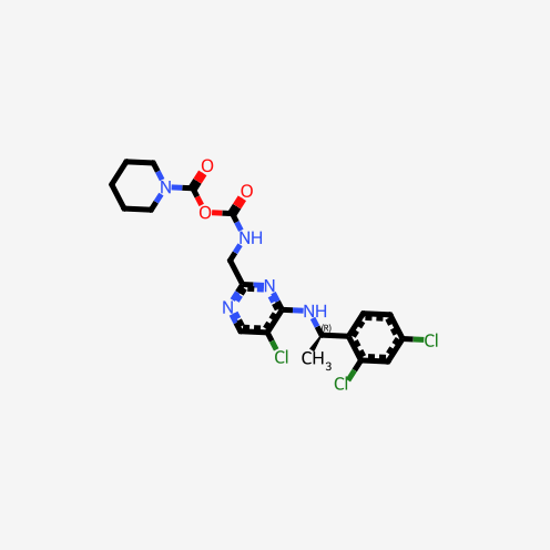 C[C@@H](Nc1nc(CNC(=O)OC(=O)N2CCCCC2)ncc1Cl)c1ccc(Cl)cc1Cl